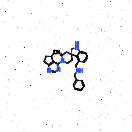 CC1CCc2ncnc(N3CCC4(CC3)CNc3cccc(CNCc5ccccc5)c34)c21